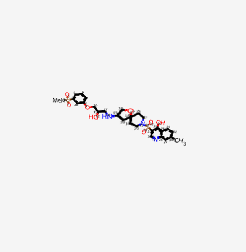 CNS(=O)(=O)c1cccc(OCC(O)CNC2COC3(CCN(S(=O)(=O)c4cnc5cc(C)ccc5c4O)CC3)C2)c1